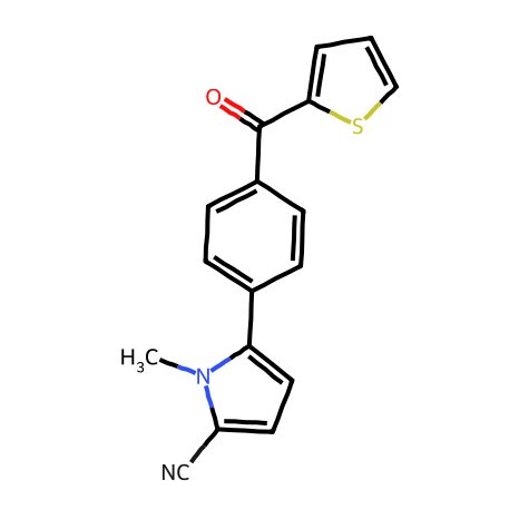 Cn1c(C#N)ccc1-c1ccc(C(=O)c2cccs2)cc1